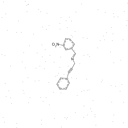 O=[N+]([O-])c1cccc(C=NCC#Cc2ccccc2)c1